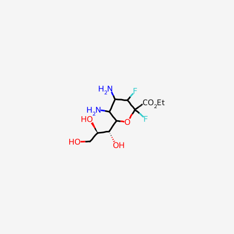 CCOC(=O)C1(F)OC([C@H](O)[C@H](O)CO)C(N)C(N)C1F